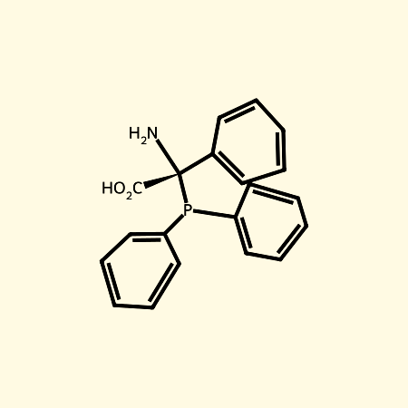 N[C@](C(=O)O)(c1ccccc1)P(c1ccccc1)c1ccccc1